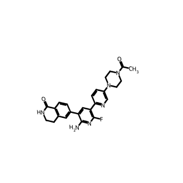 CC(=O)N1CCN(c2ccc(-c3cc(-c4ccc5c(c4)CCNC5=O)c(N)nc3F)nc2)CC1